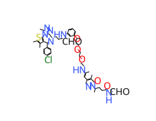 C/C(=C\c1cnn(C(C)CCC(=O)NC=O)c(=O)c1C)NCCOCCOCCOc1cccc(NC(C=O)CC[C@@H]2N=C(c3ccc(Cl)cc3)c3c(sc(C)c3C)-n3c(C)nnc32)c1